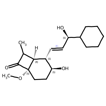 CO[C@@]12CC[C@H](O)[C@@H](/C=C/[C@@H](O)C3CCCCC3)[C@@H]1C(C)C2=O